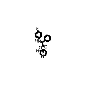 O=C(O[C@H]1CN2CCC1CC2)C(Nc1ccc(F)cc1)c1ccccc1